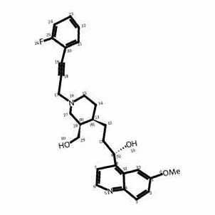 COc1ccc2nccc([C@@H](O)CC[C@@H]3CCN(CC#Cc4ccccc4F)C[C@@H]3CO)c2c1